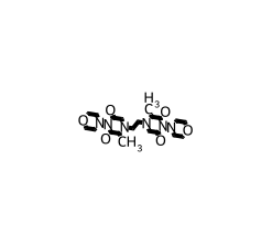 CC1C(=O)N(N2CCOCC2)C(=O)CN1CCN1CC(=O)N(N2CCOCC2)C(=O)C1C